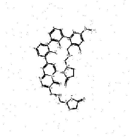 COc1cc(Cl)c(CNC[C@H]2CCC(=O)N2)c(-c2cccc(-c3cccc(-c4ccn5c(=O)c(CNC[C@@H]6CCC(=O)N6)cnc5c4)c3Cl)c2Cl)n1